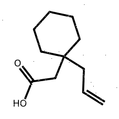 C=CCC1(CC(=O)O)CCCCC1